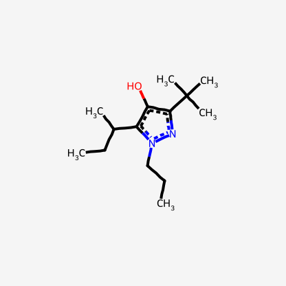 CCCn1nc(C(C)(C)C)c(O)c1C(C)CC